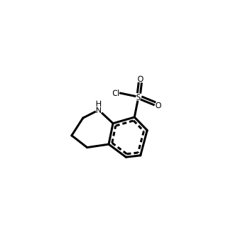 O=S(=O)(Cl)c1cccc2c1NCCC2